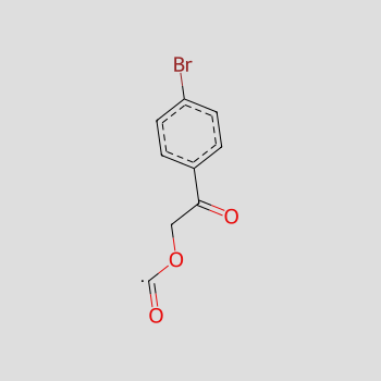 O=[C]OCC(=O)c1ccc(Br)cc1